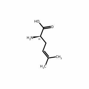 CC(C)=CC[C@@H](N)C(=O)O